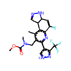 COC(=O)N(C)Cc1c(-c2c[nH]nc2C(F)(F)F)nc2c(c1C)C1C=NNC1C=C2F